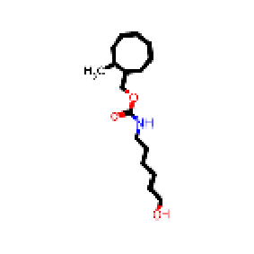 CC1CCCCCCC1COC(=O)NCCCCCCO